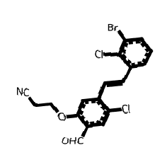 N#CCCOc1cc(C=Cc2cccc(Br)c2Cl)c(Cl)cc1C=O